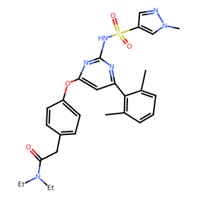 CCN(CC)C(=O)Cc1ccc(Oc2cc(-c3c(C)cccc3C)nc(NS(=O)(=O)c3cnn(C)c3)n2)cc1